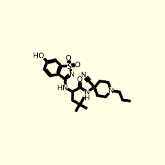 CCCN1CCC(C#N)(NC(=O)C(CC(C)(C)C)NC2=NS(=O)(=O)c3cc(O)ccc32)CC1